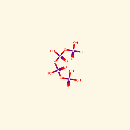 O=P(O)(O)OP(=O)(O)OP(=O)(O)OP(=O)(O)Cl